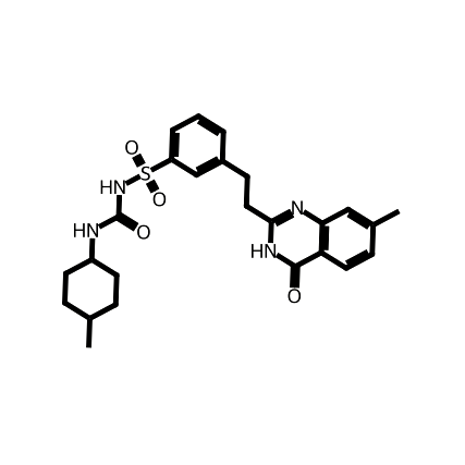 Cc1ccc2c(=O)[nH]c(CCc3cccc(S(=O)(=O)NC(=O)NC4CCC(C)CC4)c3)nc2c1